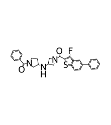 O=C(c1ccccc1)N1CC[C@H](NC2CN(C(=O)c3sc4ccc(-c5ccccc5)cc4c3F)C2)C1